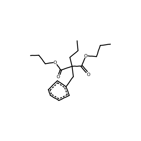 CCCOC(=O)C(CCC)(Cc1ccccc1)C(=O)OCCC